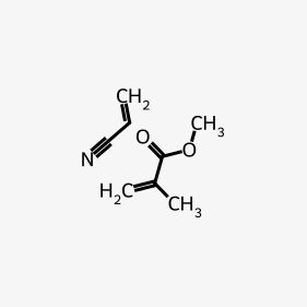 C=C(C)C(=O)OC.C=CC#N